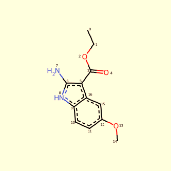 CCOC(=O)c1c(N)[nH]c2ccc(OC)cc12